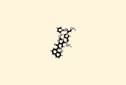 C=CC(=O)N1CCC(/C=[N+](/C)c2nc(OC[C@@H]3CCCN3C)nc3c(F)c(-c4cccc5cccc(Cl)c45)ncc23)C1